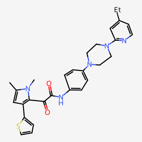 CCc1ccnc(N2CCN(c3ccc(NC(=O)C(=O)c4c(-c5cccs5)cc(C)n4C)cc3)CC2)c1